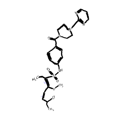 COC(/C=C\C(C)Cl)=C(/C)S(=O)(=O)Nc1ccc(C(=O)N2CCN(c3ncccn3)CC2)cc1